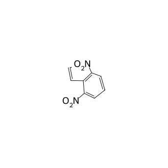 [CH]=Cc1c([N+](=O)[O-])cccc1[N+](=O)[O-]